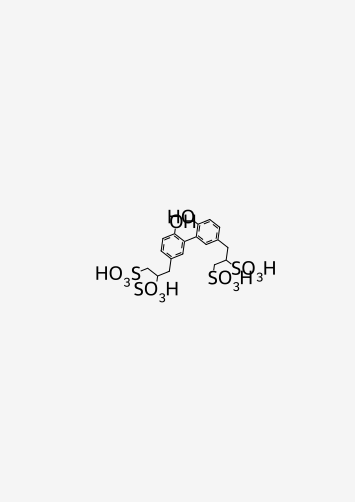 O=S(=O)(O)CC(Cc1ccc(O)c(-c2cc(CC(CS(=O)(=O)O)S(=O)(=O)O)ccc2O)c1)S(=O)(=O)O